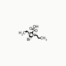 C=Cn1cc[n+](CCC)c1S(=O)(=O)O.[Br-]